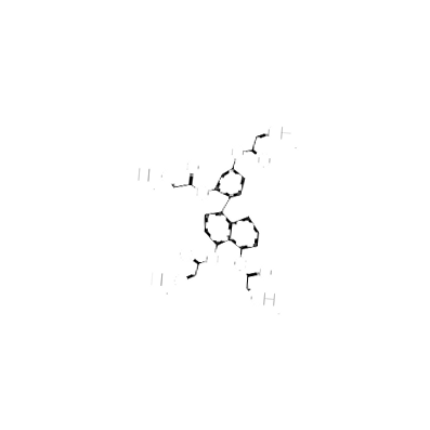 C=CC(=O)Oc1ccc(-c2ccc(OC(=O)C=C)c3c(OC(=O)C=C)cccc23)c(OC(=O)C=C)c1